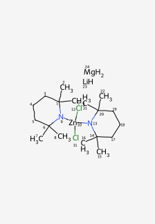 CC1(C)CCCC(C)(C)[N]1[Zn]([Cl])([Cl])[N]1C(C)(C)CCCC1(C)C.[LiH].[MgH2]